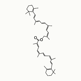 CC(C=CC1=C(C)CCCC1(C)C)=CC=CC(C)=CC=C(C)COC(=O)C(C)=CC=C(C)C=CC=C(C)C=CC1=C(C)CCCC1(C)C